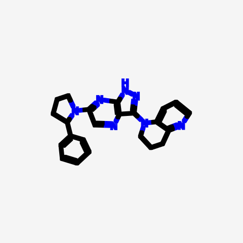 c1ccc(C2CCCN2c2cnc3c(N4CCCc5ncccc54)n[nH]c3n2)cc1